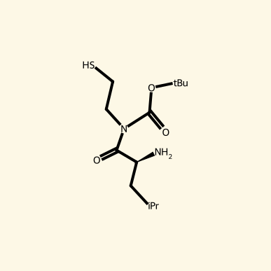 CC(C)C[C@H](N)C(=O)N(CCS)C(=O)OC(C)(C)C